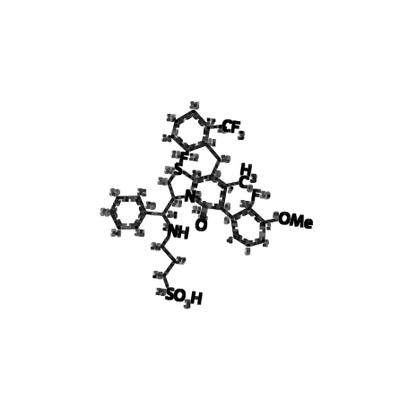 COc1cccc(-c2c(C)c(Cc3c(F)cccc3C(F)(F)F)c3n(c2=O)C(C(NCCCS(=O)(=O)O)c2ccccc2)CS3)c1F